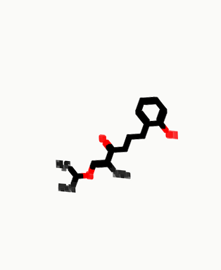 CN/C(=C\OC(C)NC)C(=O)CCCc1ccccc1O